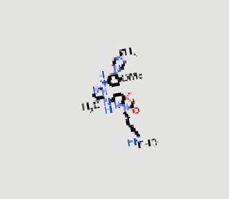 COc1ccc(Nc2ncc(C)c(Nc3ccc4c(n3)N(CCCC#CCNC=O)C(=O)CO4)n2)cc1N1CCN(C)CC1